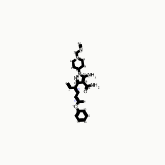 C=C/C(=C\C=C(/C)Oc1ccccc1)c1nn(C2CCN(CN=C)CC2)c(N)c1C(N)=O